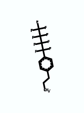 [CH2]CCc1ccc(C(F)(F)C(F)(F)C(F)(F)C(F)(F)F)cc1